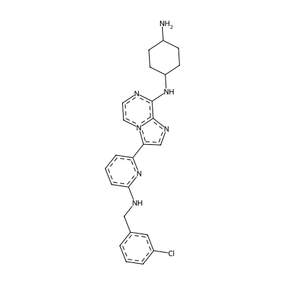 NC1CCC(Nc2nccn3c(-c4cccc(NCc5cccc(Cl)c5)n4)cnc23)CC1